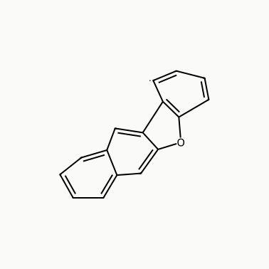 [c]1cccc2oc3cc4ccccc4cc3c12